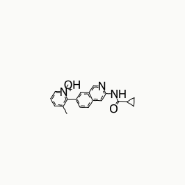 Cc1ccc[n+](O)c1-c1ccc2cc(NC(=O)C3CC3)ncc2c1